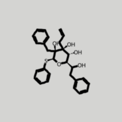 C=CC[C@]1(O)[C@H](O)[C@@H](C(O)Cc2ccccc2)O[C@@H](Sc2ccccc2)[C@]1(O)Cc1ccccc1